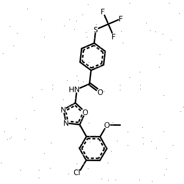 COc1ccc(Cl)cc1-c1nnc(NC(=O)c2ccc(SC(F)(F)F)cc2)o1